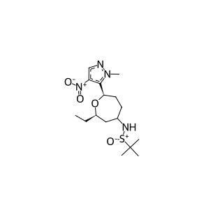 CC[C@@H]1CC(N[S+]([O-])C(C)(C)C)CC[C@H](c2c([N+](=O)[O-])cnn2C)O1